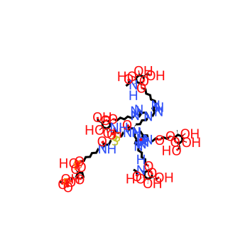 COP(=O)(O)OC[C@H]1OCC[C@@H]1OP(=O)(O)OCCCCCCNC(=O)CCSSCCNC(=O)[C@H](CCCCN(Cc1cn(CCCCCO[C@@H]2O[C@H](CO)[C@H](O)[C@H](O)[C@H]2NC(C)=O)nn1)Cc1cn(CCCCCO[C@@H]2O[C@H](CO)[C@H](O)[C@H](O)[C@H]2NC(C)=O)nn1)N(Cc1cn(CCCCCO[C@@H]2O[C@H](CO)[C@H](O)[C@H](O)[C@H]2NC(C)=O)nn1)Cc1cn(CCOCCO[C@@H]2O[C@H](CO)[C@H](O)[C@H](O)[C@H]2C)nn1